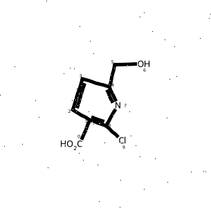 O=C(O)c1ccc(CO)nc1Cl